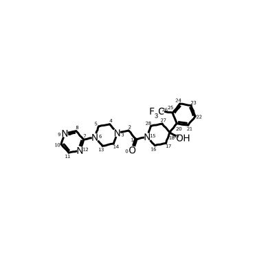 O=C(CN1CCN(c2cnccn2)CC1)N1CCC(O)(c2ccccc2C(F)(F)F)CC1